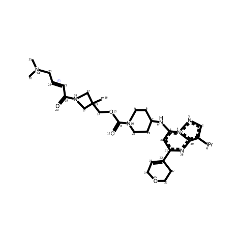 CC(C)c1cnn2c(NC3CCN(C(=O)OCC4(F)CN(C(=O)/C=C/CN(C)C)C4)CC3)cc(C3=CCOCC3)nc12